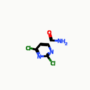 Clc1ccnc(Cl)n1.NC=O